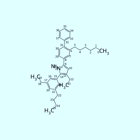 CCCCCCc1cc(C2=CC(CC)=C(c3cc(CC)cc(CCCC)c3)[N+]2=[N-])ccc1-c1ccccc1